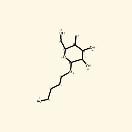 CC(=O)CCCCOC1OC(CO)C(C)C(O)C1O